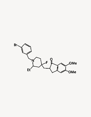 CCC1CC(F)(CC2Cc3cc(OC)c(OC)cc3C2=O)CCN1Cc1cccc(Br)c1